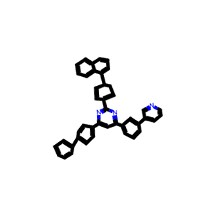 C1=CC(c2cccc3ccccc23)CC=C1c1nc(-c2ccc(-c3ccccc3)cc2)cc(-c2cccc(-c3cccnc3)c2)n1